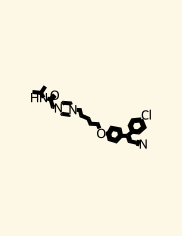 CC(C)NC(=O)CN1CCN(CCCCCOc2ccc(C(=CC#N)c3ccc(Cl)cc3)cc2)CC1